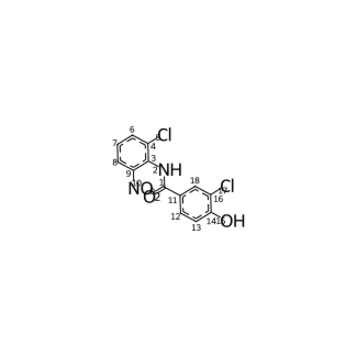 O=C(Nc1c(Cl)cccc1[N+](=O)[O-])c1ccc(O)c(Cl)c1